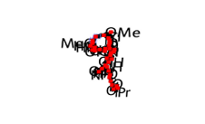 COc1cc2cc(c1Cl)N(C)C(=O)C[C@H](OC(=O)[C@H](C)N(C)C(=O)c1ccc(NC(=O)[C@H](CCCNC(N)=O)NC(=O)CNC(=O)CCCCCN3C(=O)CC(C(C)C)C3=O)cc1)[C@]1(C)O[C@H]1C[C@@H]1C[C@@](O)(NC(=O)O1)[C@H](OC)/C=C/C=C(\C)C2